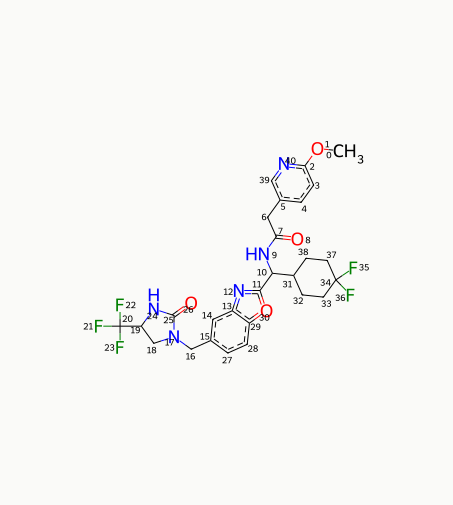 COc1ccc(CC(=O)NC(c2nc3cc(CN4CC(C(F)(F)F)NC4=O)ccc3o2)C2CCC(F)(F)CC2)cn1